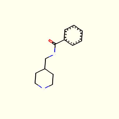 O=C(NCC1CCNCC1)c1cc[c]cc1